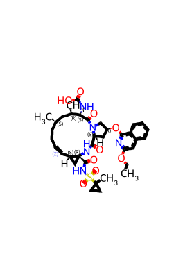 CCOc1cc2ccccc2c(O[C@@H]2C[C@H]3C(=O)N[C@]4(C(=O)NS(=O)(=O)C5(C)CC5)C[C@H]4/C=C\CC[C@H](C)C[C@@H](C)[C@H](NC(=O)O)C(=O)N3C2)n1